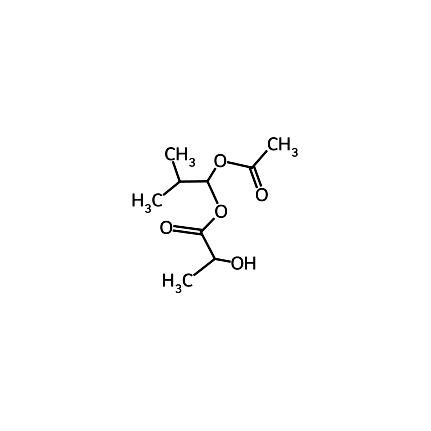 CC(=O)OC(OC(=O)C(C)O)C(C)C